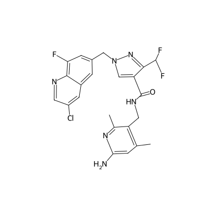 Cc1cc(N)nc(C)c1CNC(=O)c1cn(Cc2cc(F)c3ncc(Cl)cc3c2)nc1C(F)F